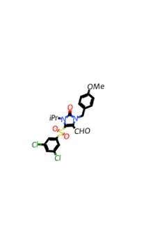 COc1ccc(Cn2c(C=O)c(S(=O)(=O)c3cc(Cl)cc(Cl)c3)n(C(C)C)c2=O)cc1